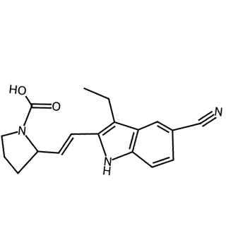 CCc1c(C=CC2CCCN2C(=O)O)[nH]c2ccc(C#N)cc12